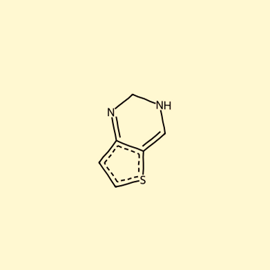 C1=c2sccc2=NCN1